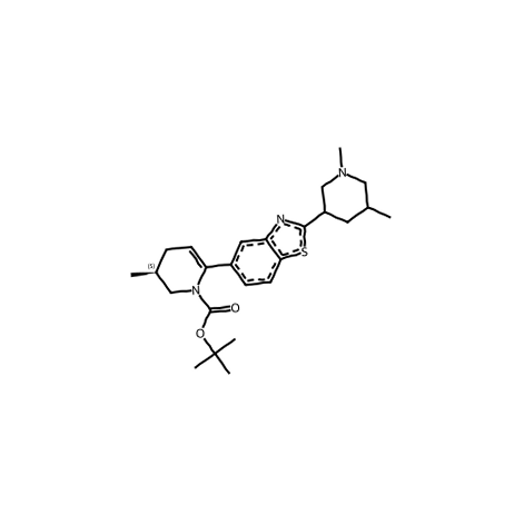 CC1CC(c2nc3cc(C4=CC[C@H](C)CN4C(=O)OC(C)(C)C)ccc3s2)CN(C)C1